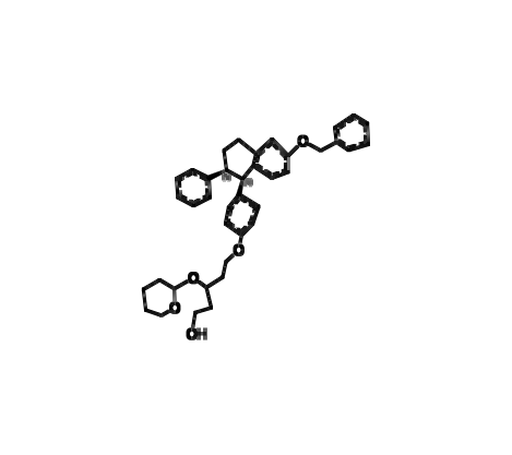 OCCC(CCOc1ccc([C@@H]2c3ccc(OCc4ccccc4)cc3CC[C@@H]2c2ccccc2)cc1)OC1CCCCO1